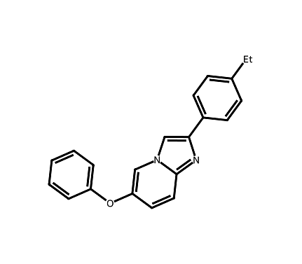 CCc1ccc(-c2cn3cc(Oc4ccccc4)ccc3n2)cc1